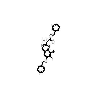 O=C(Nc1ncc2cc(OCc3ccccc3)c(I)c(F)c2n1)OCc1ccccc1